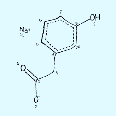 O=C([O-])Cc1cccc(O)c1.[Na+]